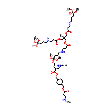 CCCCNCCC(=O)OCC1CCC(COC(=O)C(CCO[Si](CCCNCCC(=O)OCC(CC)(COC(=O)CCNCCC[Si](OCC)(OCC)OCC)COC(=O)CCNCCC[Si](OCC)(OCC)OCC)(OCC)OCC)CNCCCC)CC1